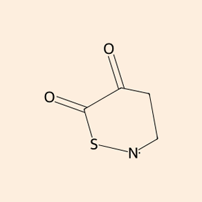 O=C1CC[N]SC1=O